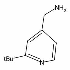 CC(C)(C)c1cc(CN)ccn1